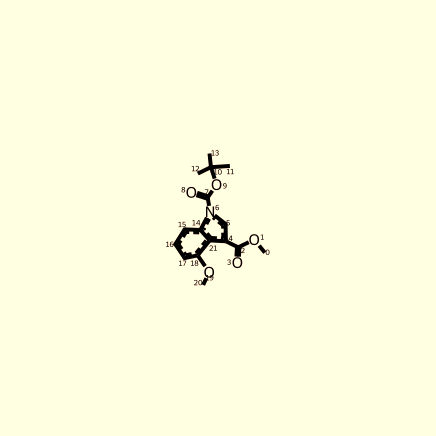 COC(=O)c1cn(C(=O)OC(C)(C)C)c2cccc(OC)c12